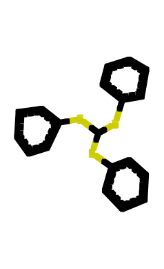 c1ccc(SC(Sc2ccccc2)Sc2ccccc2)cc1